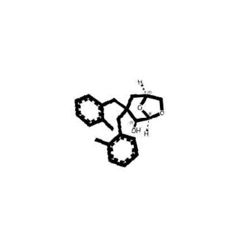 Cc1ccccc1CC1(Cc2ccccc2C)C[C@H]2CO[C@H](O2)[C@H]1O